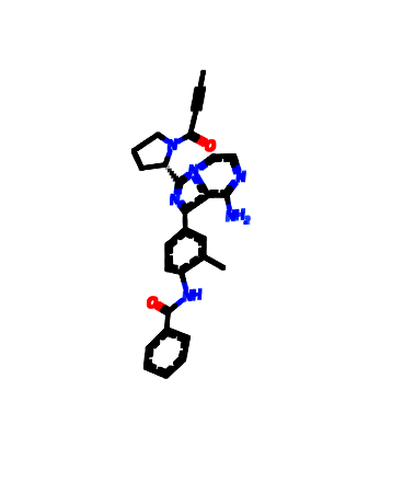 CC#CC(=O)N1CCC[C@H]1c1nc(-c2ccc(NC(=O)c3ccccc3)c(C)c2)c2c(N)nccn12